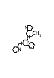 CCN(CCN(Cc1ccccn1)Cc1ccccn1)Cc1ccccn1